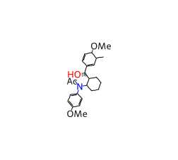 COc1ccc(N(C(C)=O)C2CCCCC2[C@H](O)C2=CC(C)C(OC)C=C2)cc1